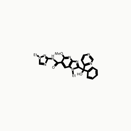 CCn1cnc(NC(=O)c2cc3c(nc2OC)nc(C(O)(c2ccccc2)c2ccncn2)n3CC)n1